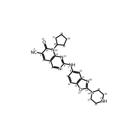 N#Cc1cc2cnc(Nc3ccc4oc(N5CCNCC5)nc4c3)nc2n(C2CCCC2)c1=O